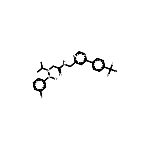 CC(C)N(CC(=O)NCc1cc(-c2ccc(C(F)(F)F)cc2)ncn1)[S+]([O-])c1cccc(F)c1